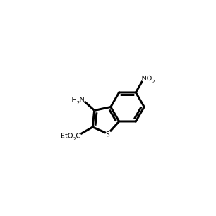 CCOC(=O)c1sc2ccc([N+](=O)[O-])cc2c1N